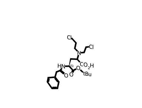 CC(C)(C)OC(=O)[C@H](CC(C(=O)O)N(CCCl)CCCl)NC(=O)Cc1ccccc1